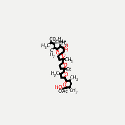 CCC1(C2OC(C3OC(CO)(OC(C)=O)C(C)CC3C)CC2C)CCC(C2(C)CCC3(CC(O)C(C)C(C(C)C(OC)C(C)C(=O)O)O3)O2)O1